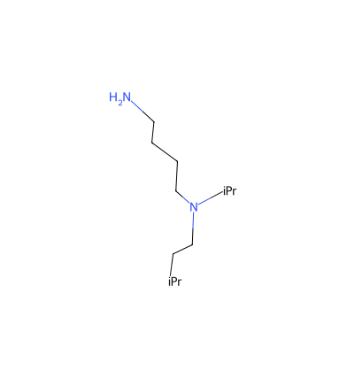 CC(C)CCN(CCCCN)C(C)C